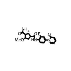 COC1CC(C(=O)Nc2ccc(-n3ccccc3=O)cc2F)CC1C(N)=O